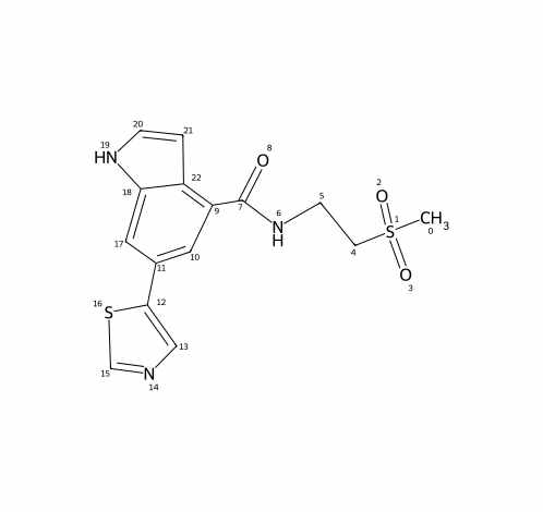 CS(=O)(=O)CCNC(=O)c1cc(-c2cncs2)cc2[nH]ccc12